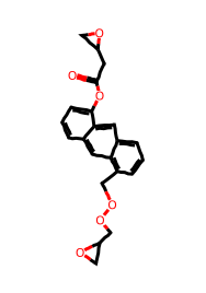 O=C(CC1CO1)Oc1cccc2cc3c(COOCC4CO4)cccc3cc12